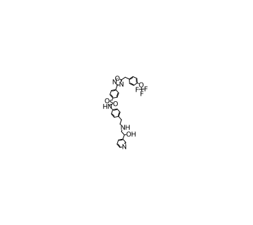 O=S(=O)(Nc1ccc(CCNCC(O)c2cccnc2)cc1)c1ccc(-c2noc(Cc3ccc(OC(F)(F)F)cc3)n2)cc1